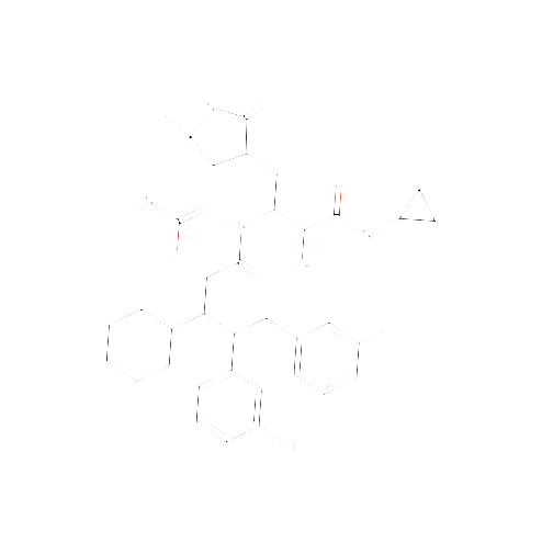 CC1(C)CC(CC(NC(=O)[C@@H](OC(N)=O)C(C2CCCCC2)C(Cc2cccc(Cl)c2)c2cccc(Cl)c2)C(O)C(=O)NC2CC2)C(=O)N1